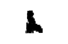 CNC(=O)Cn1c(=O)[nH]/c(=N\c2ccc(Oc3ccnnc3)cc2)n(Cc2ccc(Cl)cc2)c1=O